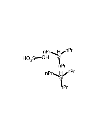 CCC[SiH](CCC)CCC.CCC[SiH](CCC)CCC.O=S(=O)(O)O